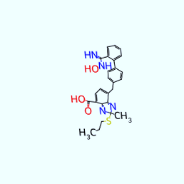 CCCSC1(C)N=c2c(Cc3ccc(-c4ccccc4C(=N)NO)cc3)ccc(C(=O)O)c2=N1